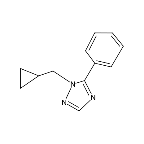 c1ccc(-c2ncnn2CC2CC2)cc1